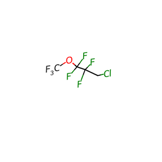 FC(F)(F)OC(F)(F)C(F)(F)CCl